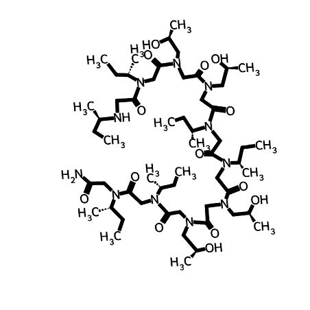 CC[C@@H](C)NCC(=O)N(CC(=O)N(CC(=O)N(CC(=O)N(CC(=O)N(CC(=O)N(CC(=O)N(CC(=O)N(CC(=O)N(CC(N)=O)[C@@H](C)CC)[C@H](C)CC)C[C@H](C)O)C[C@H](C)O)[C@@H](C)CC)[C@H](C)CC)C[C@H](C)O)C[C@H](C)O)[C@@H](C)CC